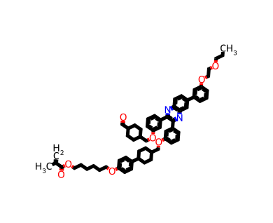 C=C(C)C(=O)OCCCCCCOc1ccc(C2CCC(COc3cccc(-c4nc5cc(-c6cccc(OCCOCCC)c6)ccc5nc4-c4cccc(OCC5CCC(C=O)CC5)c4)c3)CC2)cc1